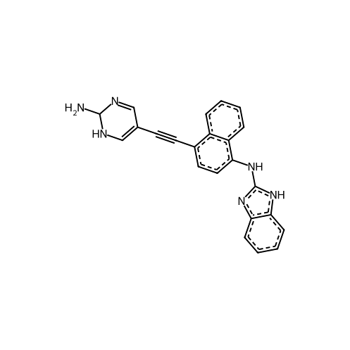 NC1N=CC(C#Cc2ccc(Nc3nc4ccccc4[nH]3)c3ccccc23)=CN1